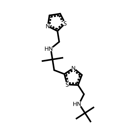 CC(C)(C)NCc1cnc(CC(C)(C)NCc2nccs2)s1